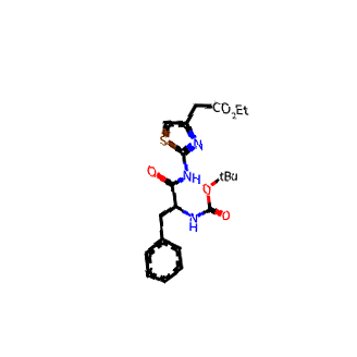 CCOC(=O)Cc1csc(NC(=O)C(Cc2ccccc2)NC(=O)OC(C)(C)C)n1